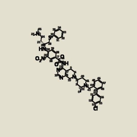 C[C@H]1CC(N2CCc3c(ncnc3NS(=O)(=O)c3ccc(N[C@H](CCN(C)C)CSc4ccccc4)c([N+](=O)[O-])c3)C2)CCN1Cc1ccccc1-c1ccc(Cl)cc1